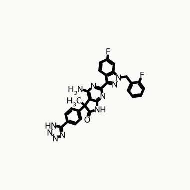 CC1(c2ccc(-c3nnn[nH]3)cc2)C(=O)Nc2nc(-c3nn(Cc4ccccc4F)c4cc(F)ccc34)nc(N)c21